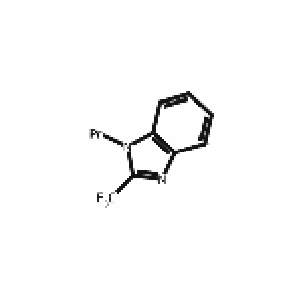 CC(C)n1c(C(F)(F)F)nc2[c]cccc21